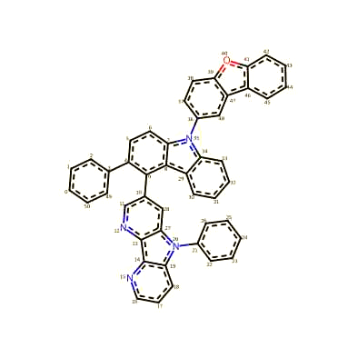 c1ccc(-c2ccc3c(c2-c2cnc4c5ncccc5n(-c5ccccc5)c4c2)c2ccccc2n3-c2ccc3oc4ccccc4c3c2)cc1